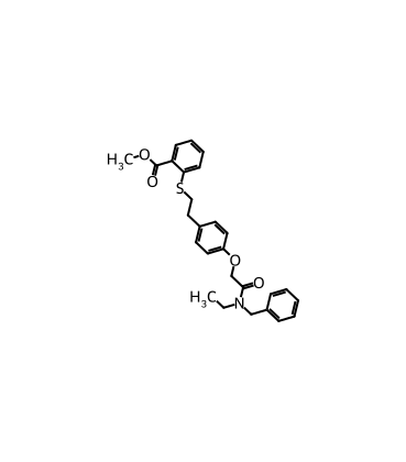 CCN(Cc1ccccc1)C(=O)COc1ccc(CCSc2ccccc2C(=O)OC)cc1